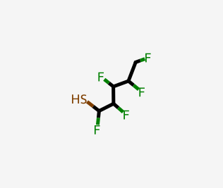 FCC(F)C(F)C(F)C(F)S